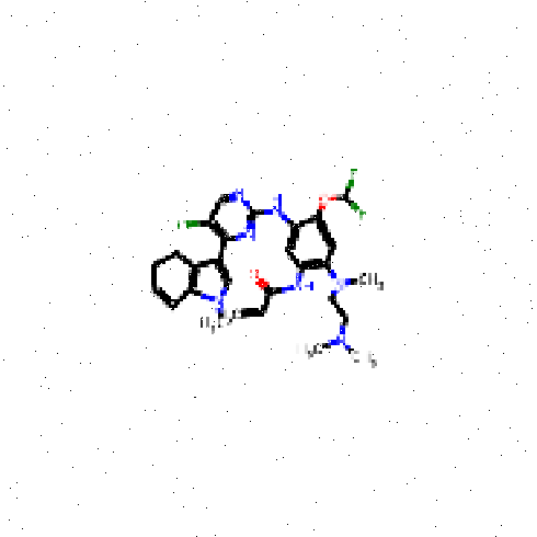 C=CC(=O)Nc1cc(Nc2ncc(Cl)c(-c3cn(C)c4c3CCC=C4)n2)c(OC(F)F)cc1N(C)CCN(C)C